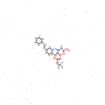 COC(=O)C(C)N(C)C(=O)C(CC(=O)OC(C)(C)C)c1ccc(OCc2ccccc2)cc1